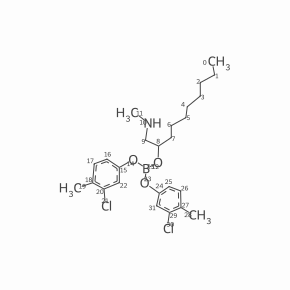 CCCCCCCCC(CNC)OB(Oc1ccc(C)c(Cl)c1)Oc1ccc(C)c(Cl)c1